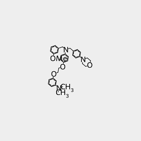 COc1cccc(CN(Cc2ccc(N3CCOCC3)cc2)c2ccc(OCCOc3cccc(N(C)C)c3)cc2)c1